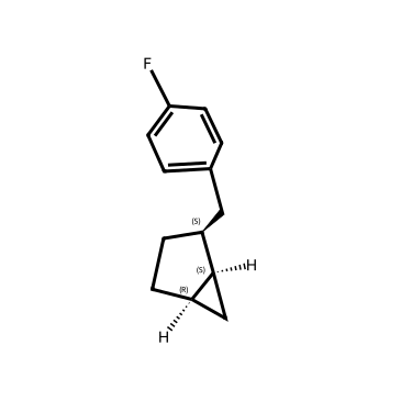 Fc1ccc(C[C@@H]2CC[C@@H]3C[C@@H]32)cc1